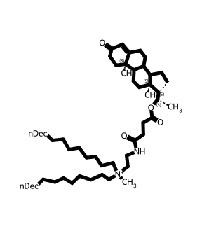 CCCCCCCCCCCCCCCCCC[N+](C)(CCCCCCCCCCCCCCCCCC)CCNC(=O)CCC(=O)O[C@@H](C)[C@H]1CCC2C3CCC4=CC(=O)CC[C@]4(C)C3CC[C@@]21C